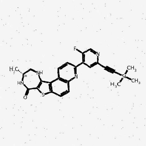 C[C@@H]1CNc2c(sc3ccc4nc(-c5cc(C#C[Si](C)(C)C)ncc5F)ccc4c23)C(=O)N1